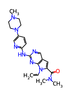 C=Cn1c(C(=O)N(C)C)cc2cnc(Nc3ccc(N4CCN(C)CC4)cn3)nc21